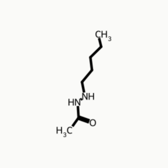 CCCCCNNC(C)=O